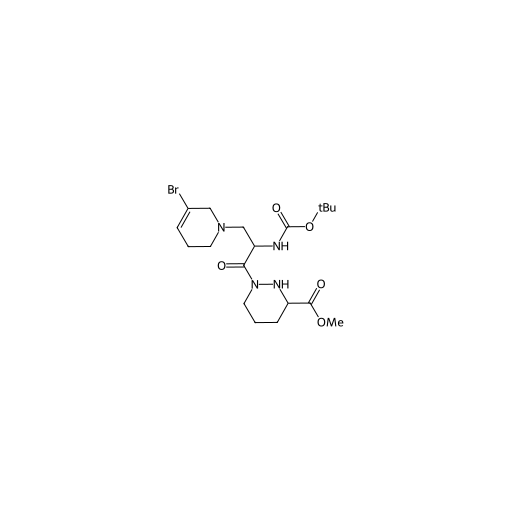 COC(=O)C1CCCN(C(=O)C(CN2CCC=C(Br)C2)NC(=O)OC(C)(C)C)N1